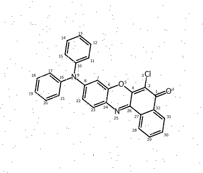 O=c1c(Cl)c2oc3cc(N(c4ccccc4)c4ccccc4)ccc3nc-2c2ccccc12